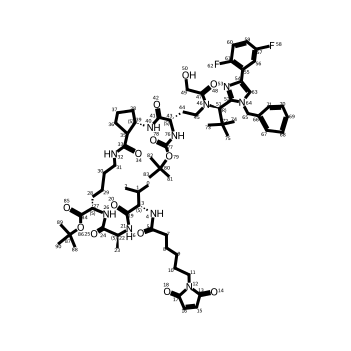 CC(C)[C@H](NC(=O)CCCCCN1C(=O)C=CC1=O)C(=O)N[C@@H](C)C(=O)N[C@@H](CCCCNC(=O)C1CCC[C@@H]1NC(=O)[C@H](CCN(C(=O)CO)[C@@H](c1nc(-c2cc(F)ccc2F)cn1Cc1ccccc1)C(C)(C)C)NC(=O)OC(C)(C)C)C(=O)OC(C)(C)C